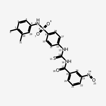 Cc1ccc(NS(=O)(=O)c2ccc(NC(=S)NC(=O)c3cccc(N=O)c3)cc2)cc1C